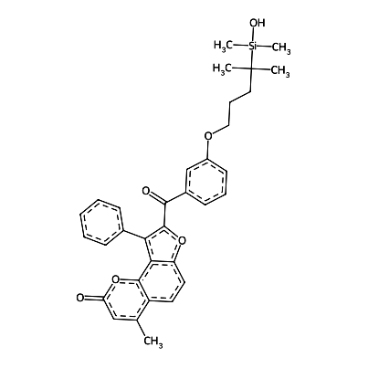 Cc1cc(=O)oc2c1ccc1oc(C(=O)c3cccc(OCCCC(C)(C)[Si](C)(C)O)c3)c(-c3ccccc3)c12